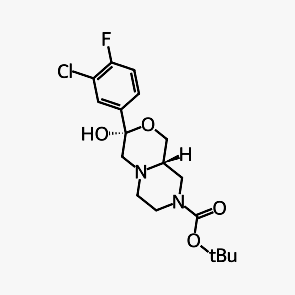 CC(C)(C)OC(=O)N1CCN2C[C@@](O)(c3ccc(F)c(Cl)c3)OC[C@@H]2C1